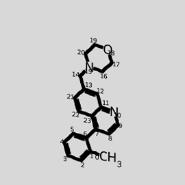 Cc1ccccc1-c1ccnc2cc(CN3CCOCC3)ccc12